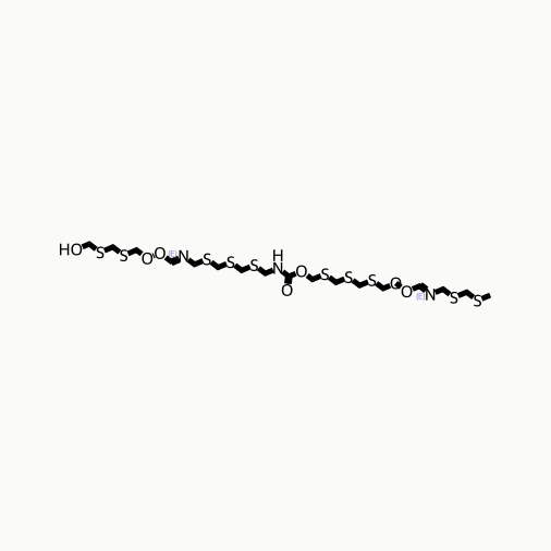 CSCSC/N=C/OOCSCSCSCOC(=O)NCSCSCSC/N=C/OOCSCSCO